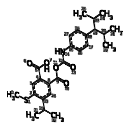 CSc1cc(C(=O)O)c(C(=O)OC(=O)Nc2ccc(C(C(C)C)C(C)C)cc2)cc1C(C)C